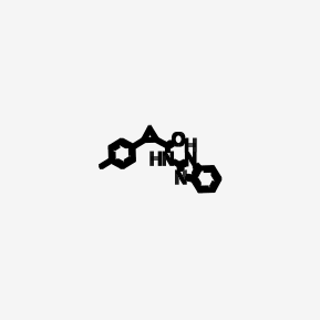 Cc1ccc(C2CC2C(=O)Nc2nc3ccccc3[nH]2)cc1